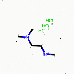 CNCCN(C)C.Cl.Cl.Cl